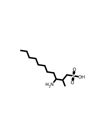 CCCCCCCCC(N)C(C)CS(=O)(=O)O